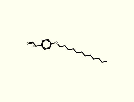 CCCCCCCCCCCCOc1ccc(NC=O)cc1